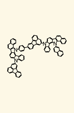 c1ccc2c(c1)-c1cccc3cc(-n4c5ccccc5c5c4ccc4c6ccc7ccccc7c6n(-c6ccc(-c7ccc8c(c7)-c7cccc9cc(-n%10c%11ccccc%11c%11c%10ccc%10c%12ccc%13ccccc%13c%12n(-c%12ccc%13ccccc%13c%12)c%10%11)cc-8c79)cc6)c45)cc-2c13